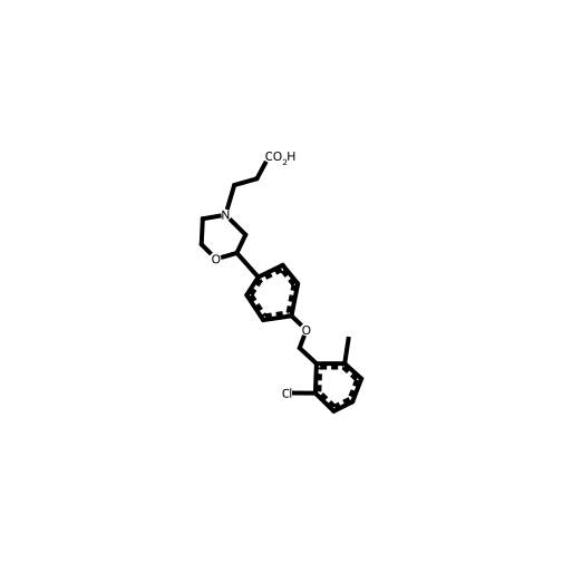 Cc1cccc(Cl)c1COc1ccc(C2CN(CCC(=O)O)CCO2)cc1